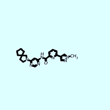 Cn1cc(-c2cccc(C(=O)Nc3cc(N4CCC5(CCCC5)C4)ncn3)n2)cn1